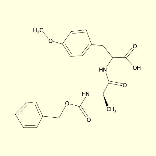 COc1ccc(CC(NC(=O)[C@@H](C)NC(=O)OCc2ccccc2)C(=O)O)cc1